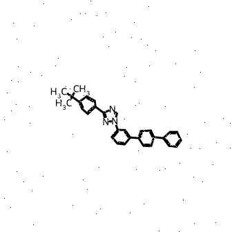 CC(C)(C)c1ccc(-c2ncn(-c3cccc(-c4ccc(-c5ccccc5)cc4)c3)n2)cc1